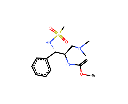 C=C(N[C@H](CN(C)C)[C@@H](NS(C)(=O)=O)c1ccccc1)OC(C)(C)C